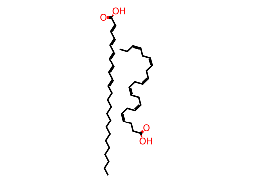 CC/C=C\C/C=C\C/C=C\C/C=C\C/C=C\C/C=C\CCC(=O)O.CCCCCCCCCCCCCC=CC=CC=CC=CC=CC(=O)O